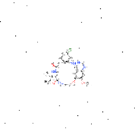 COc1cc2ncnc3c2cc1OCCNC(=O)C(C(C)C)NC(=O)Cc1ccc(Cl)cc1N3